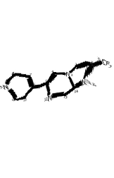 FC(F)(F)c1cn2cc(C3=CCN=CC3)ncc2n1